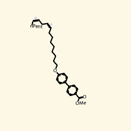 CCCCC/C=C\C/C=C\CCCCCCCCOc1ccc(-c2ccc(C(=O)OC)cc2)cc1